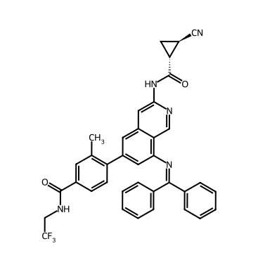 Cc1cc(C(=O)NCC(F)(F)F)ccc1-c1cc(N=C(c2ccccc2)c2ccccc2)c2cnc(NC(=O)[C@@H]3C[C@H]3C#N)cc2c1